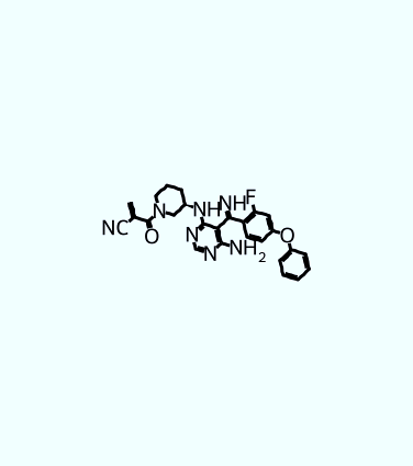 C=C(C#N)C(=O)N1CCC[C@@H](Nc2ncnc(N)c2C(=N)c2ccc(Oc3ccccc3)cc2F)C1